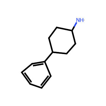 [NH]C1CCC(c2ccccc2)CC1